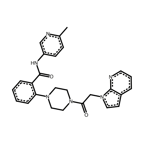 Cc1ccc(NC(=O)c2ccccc2N2CCN(C(=O)Cn3ccc4cccnc43)CC2)cn1